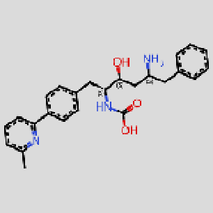 Cc1cccc(-c2ccc(C[C@H](NC(=O)O)[C@@H](O)C[C@@H](N)Cc3ccccc3)cc2)n1